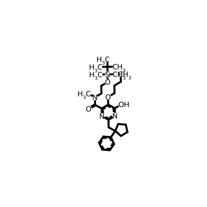 CCCCOc1c(O)nc(CC2(c3ccccc3)CCCC2)nc1C(=O)N(C)CCO[Si](C)(C)C(C)(C)C